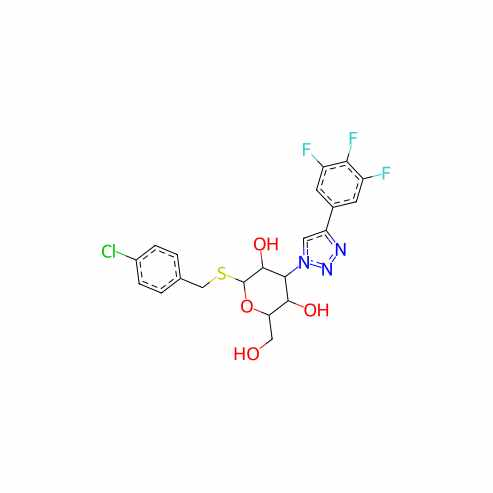 OCC1OC(SCc2ccc(Cl)cc2)C(O)C(n2cc(-c3cc(F)c(F)c(F)c3)nn2)C1O